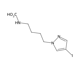 O=C(O)NCCCCn1cc(I)cn1